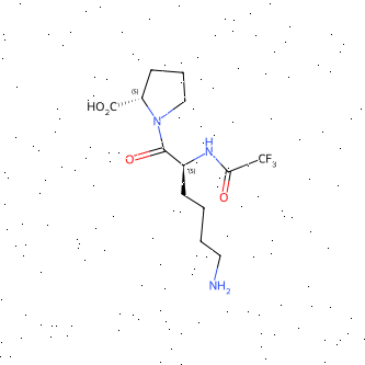 NCCCC[C@H](NC(=O)C(F)(F)F)C(=O)N1CCC[C@H]1C(=O)O